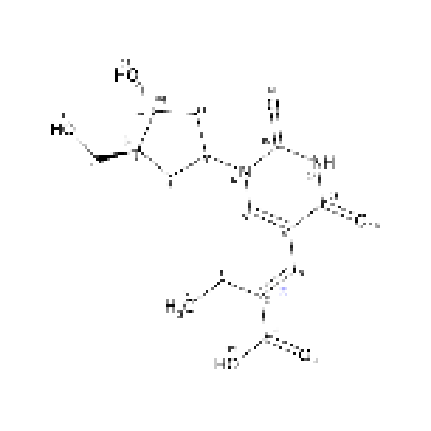 CC/C(=C\c1cn(C2C[C@@H](CO)[C@H](O)C2)c(=O)[nH]c1=O)C(=O)O